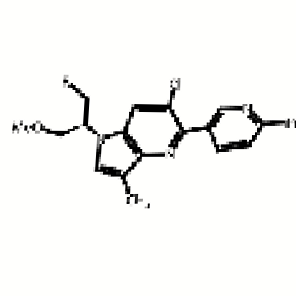 COC[C@@H](CF)n1cc(C)c2nc(-c3ccc(C(C)C)nc3)c(Cl)cc21